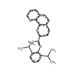 CC(=Nc1c(C(C)C)cccc1C(C)C)c1ccc2ccc3cccnc3c2n1